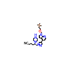 CS(C)(C)CCOCn1ccc2c(-c3cnn(C[C@@H](CCCC#N)N4CCNCC4)c3)ccnc21